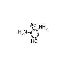 CC(=O)c1c(N)cccc1N.Cl